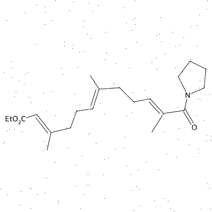 CCOC(=O)C=C(C)CCC=C(C)CCC=C(C)C(=O)N1CCCC1